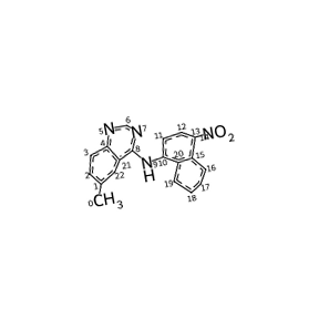 Cc1ccc2ncnc(Nc3ccc([N+](=O)[O-])c4ccccc34)c2c1